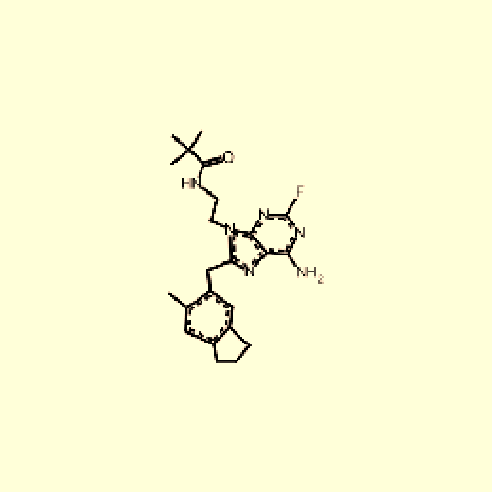 Cc1cc2c(cc1Cc1nc3c(N)nc(F)nc3n1CCNC(=O)C(C)(C)C)CCC2